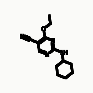 CCOc1nc(NC2CCCCC2)ncc1C#N